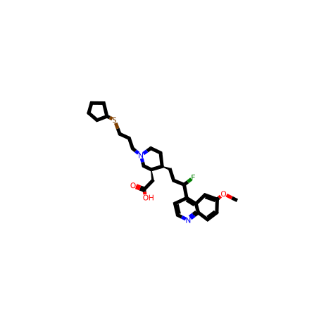 COc1ccc2nccc(C(F)CC[C@@H]3CCN(CCCSC4CCCC4)C[C@@H]3CC(=O)O)c2c1